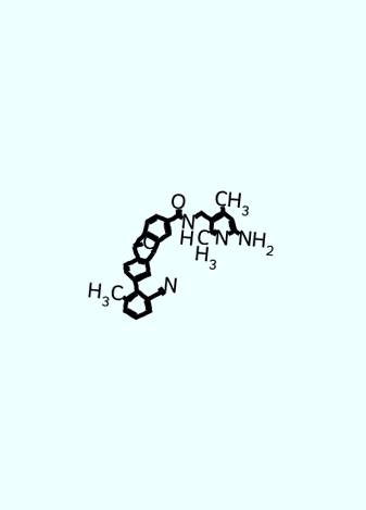 Cc1cc(N)nc(C)c1CNC(=O)c1ccc2c(c1)C1OC2c2ccc(-c3c(C)cccc3C#N)cc21